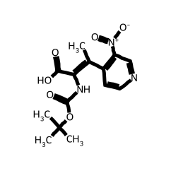 CC(=C(NC(=O)OC(C)(C)C)C(=O)O)c1ccncc1[N+](=O)[O-]